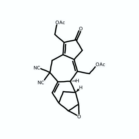 CC(=O)OCC1=C2CC(C#N)(C#N)C3=CC4C[C@@H](C5OC45)[C@@H]3C(COC(C)=O)=C2CC1=O